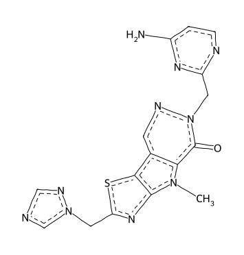 Cn1c2nc(Cn3cncn3)sc2c2cnn(Cc3nccc(N)n3)c(=O)c21